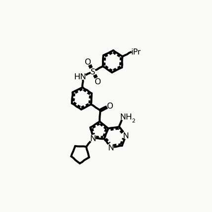 CC(C)c1ccc(S(=O)(=O)Nc2cccc(C(=O)c3cn(C4CCCC4)c4ncnc(N)c34)c2)cc1